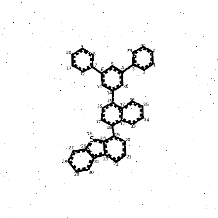 c1ccc(-c2cc(-c3ccccc3)cc(-c3ccc(-c4cccc5c4sc4ccccc45)c4ccccc34)c2)cc1